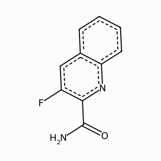 NC(=O)c1nc2ccccc2cc1F